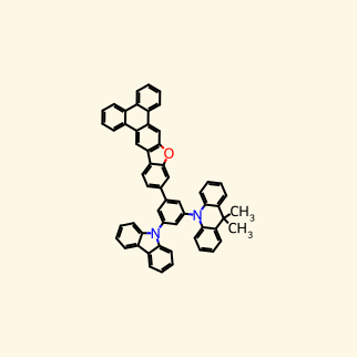 CC1(C)c2ccccc2N(c2cc(-c3ccc4c(c3)oc3cc5c6ccccc6c6ccccc6c5cc34)cc(-n3c4ccccc4c4ccccc43)c2)c2ccccc21